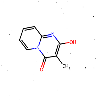 Cc1c(O)nc2ccccn2c1=O